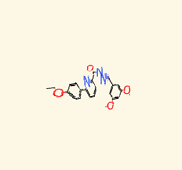 CCOc1ccc(-c2cccc(C(=O)N(C)/N=C/c3cc(OC)cc(OC)c3)n2)cc1